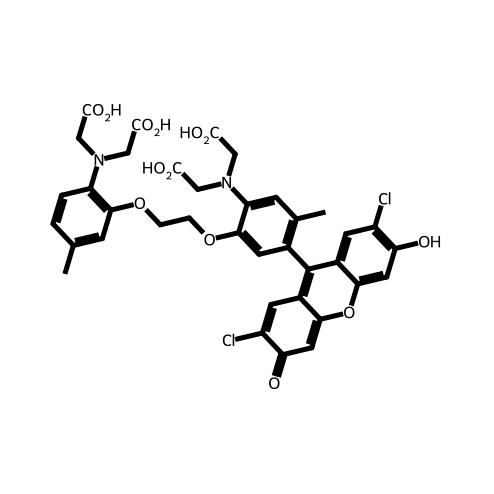 Cc1ccc(N(CC(=O)O)CC(=O)O)c(OCCOc2cc(-c3c4cc(Cl)c(=O)cc-4oc4cc(O)c(Cl)cc34)c(C)cc2N(CC(=O)O)CC(=O)O)c1